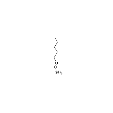 CCCCCOO[SiH3]